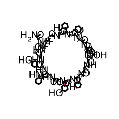 CCCC[C@H]1C(=O)N2CCC[C@@H]2C(=O)N[C@@H](CC(=O)O)C(=O)N[C@@H](C)C(=O)N(C)[C@@H](Cc2ccccc2)C(=O)N[C@@H](Cc2ccc(O)cc2)C(=O)N2CCC[C@@H]2C(=O)N[C@@H](Cc2c[nH]c3ccccc23)C(=O)N[C@@H](Cc2ccc(O)cc2)C(=O)N[C@@H](CC(C)C)C(=O)N[C@H](C(=O)NCC(N)=O)CSCC(=O)N[C@@H](Cc2ccccc2)C(=O)N(C)[C@@H](Cc2ccccc2)C(=O)N1C